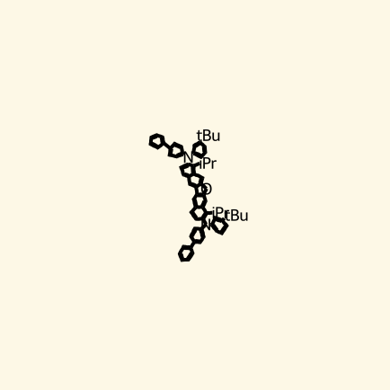 CC(C)c1c(N(c2ccc(-c3ccccc3)cc2)c2cccc(C(C)(C)C)c2)ccc2cc3c(cc12)oc1cc2c(C(C)C)c(N(c4ccc(-c5ccccc5)cc4)c4cccc(C(C)(C)C)c4)ccc2cc13